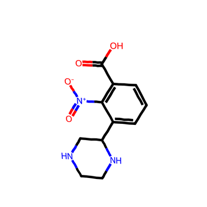 O=C(O)c1cccc(C2CNCCN2)c1[N+](=O)[O-]